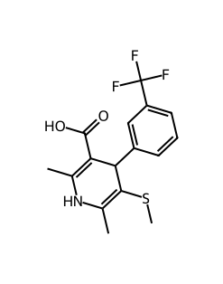 CSC1=C(C)NC(C)=C(C(=O)O)C1c1cccc(C(F)(F)F)c1